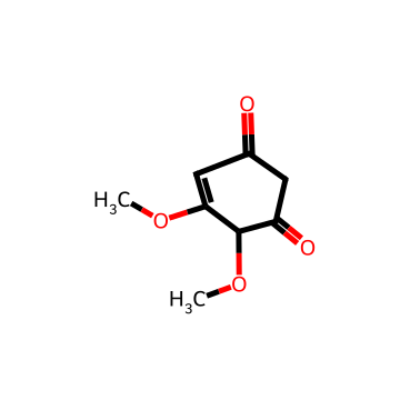 COC1=CC(=O)CC(=O)C1OC